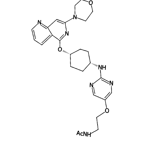 CC(=O)NCCOc1cnc(N[C@H]2CC[C@@H](Oc3nc(N4CCOCC4)cc4ncccc34)CC2)nc1